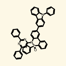 O=P1(c2ccccc2)c2ccccc2-c2cc(-c3ccc4c(c3)c3ccccc3n4-c3ccccc3)ccc2N1c1nc(-c2ccccc2)nc(-c2ccccc2)n1